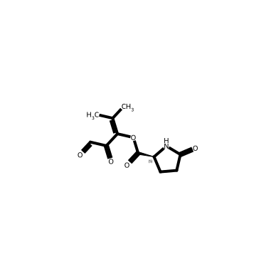 CC(C)=C(OC(=O)[C@@H]1CCC(=O)N1)C(=O)C=O